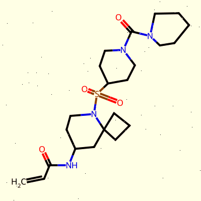 C=CC(=O)NC1CCN(S(=O)(=O)C2CCN(C(=O)N3CCCCC3)CC2)C2(CCC2)C1